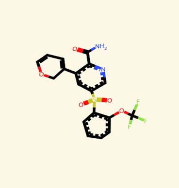 NC(=O)c1ncc(S(=O)(=O)c2ccccc2OC(F)(F)F)cc1C1=CC=COC1